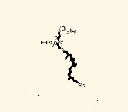 C/C(=C\CSCC(NC(=O)CCC(=O)O)C(=O)O)CCCC(C)CCCC(C)CCCC(C)C